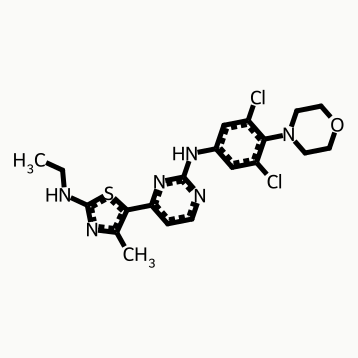 CCNc1nc(C)c(-c2ccnc(Nc3cc(Cl)c(N4CCOCC4)c(Cl)c3)n2)s1